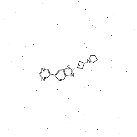 c1ncc(-c2ccc3nc([C@H]4C[C@@H](N5CCCC5)C4)sc3c2)cn1